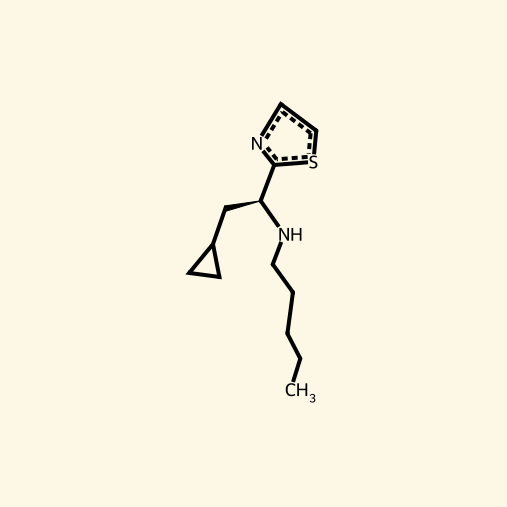 CCCCCN[C@@H](CC1CC1)c1nccs1